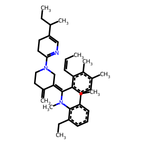 C=C1CCN(C2=NC=C(C(C)CC)CC2)C/C1=C(\c1ccc(C)c(C)c1/C=C\C)N(C)c1c(CC)cccc1CC